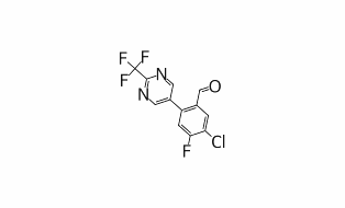 O=Cc1cc(Cl)c(F)cc1-c1cnc(C(F)(F)F)nc1